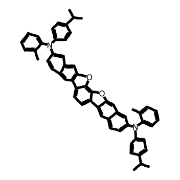 Cc1ccccc1N(c1ccc(C(C)C)cc1)c1ccc2cc3c(cc2c1)oc1c3ccc2c3cc4ccc(N(c5ccc(C(C)C)cc5)c5ccccc5C)cc4cc3oc21